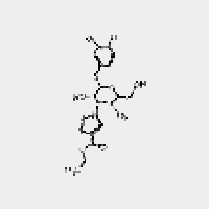 CCOC(=O)c1cn(C2C(O)C(CO)OC(Sc3ccc(Cl)c(Cl)c3)C2O)nn1